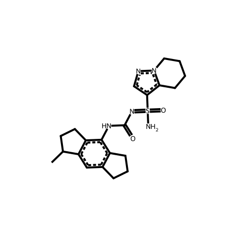 CC1CCc2c1cc1c(c2NC(=O)N=S(N)(=O)c2cnn3c2CCCC3)CCC1